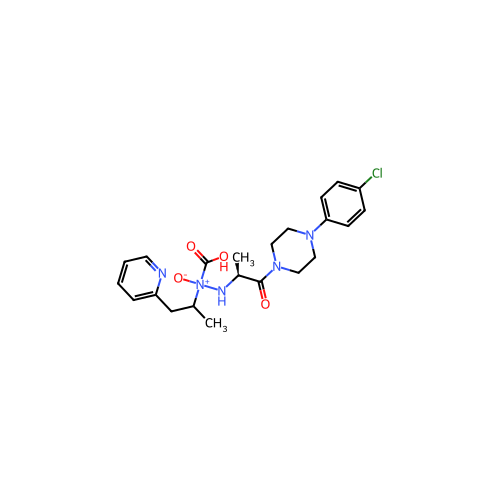 CC(Cc1ccccn1)[N+]([O-])(N[C@@H](C)C(=O)N1CCN(c2ccc(Cl)cc2)CC1)C(=O)O